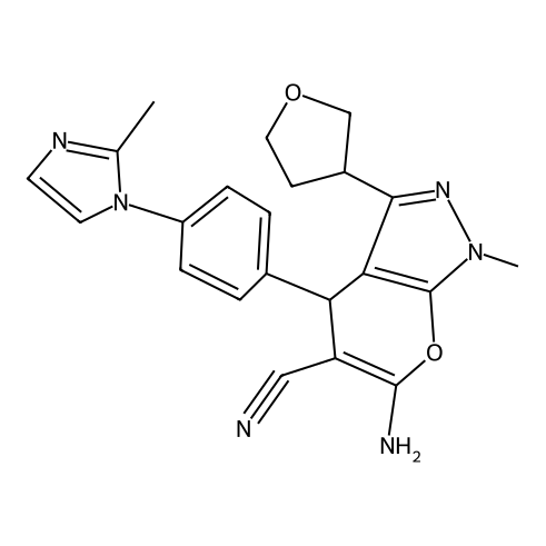 Cc1nccn1-c1ccc(C2C(C#N)=C(N)Oc3c2c(C2CCOC2)nn3C)cc1